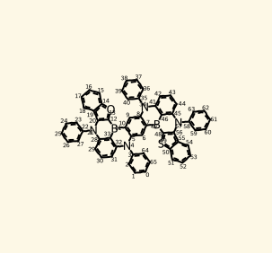 c1ccc(N2c3cc4c(cc3B3c5oc6ccccc6c5N(c5ccccc5)c5cccc2c53)N(c2ccccc2)c2cccc3c2B4c2sc4ccccc4c2N3c2ccccc2)cc1